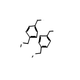 CCOCc1ccc(CCl)cc1.CCOCc1ccc(CO)cc1